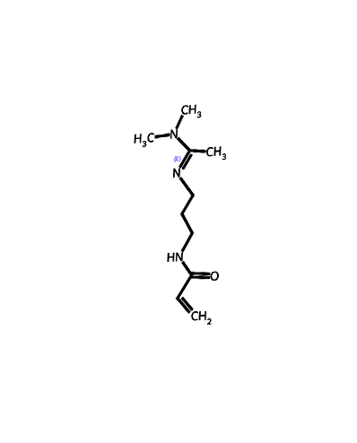 C=CC(=O)NCCC/N=C(\C)N(C)C